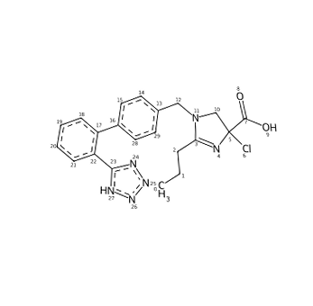 CCCC1=NC(Cl)(C(=O)O)CN1Cc1ccc(-c2ccccc2-c2nnn[nH]2)cc1